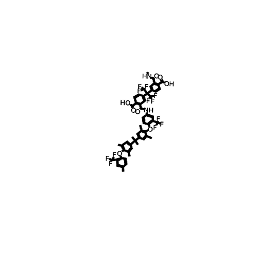 CNC(=O)c1cc(C(c2ccc(C(=O)O)c(C(=O)Nc3ccc(Oc4c(C)cc(C(C)(C)c5cc(C)c(Oc6ccc(C)cc6C(F)(F)F)c(C)c5)cc4C)c(C(F)(F)F)c3)c2)(C(F)(F)F)C(F)(F)F)ccc1C(=O)O